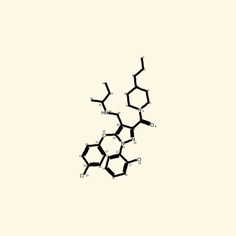 CCCC1CCN(C(=O)c2nn(-c3ccccc3Cl)c(Oc3ccc(Cl)cc3)c2CNC(C)CC)CC1